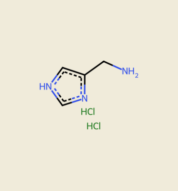 Cl.Cl.NCc1c[nH]cn1